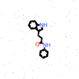 O=C(CCc1c[nH]c2ccccc12)Nc1ccccc1